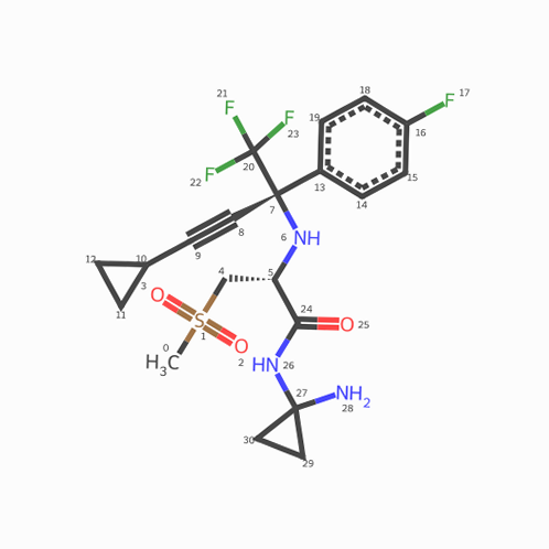 CS(=O)(=O)C[C@H](N[C@@](C#CC1CC1)(c1ccc(F)cc1)C(F)(F)F)C(=O)NC1(N)CC1